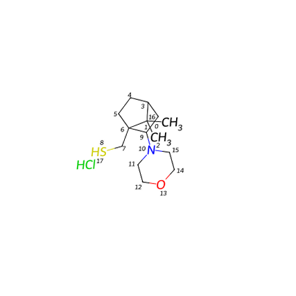 CC1(C)C2CCC1(CS)C(N1CCOCC1)C2.Cl